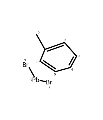 Cc1ccccc1.[Br][Pb][Br]